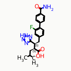 CC(C)C[C@H](C(=O)O)[C@H](Cc1ccc(-c2ccc(C(N)=O)cc2)c(F)c1)c1nn[nH]n1